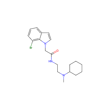 CN(CCNC(=O)Cn1ccc2cccc(Br)c21)C1CCCCC1